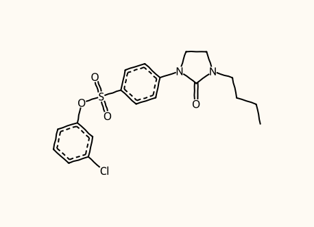 CCCCN1CCN(c2ccc(S(=O)(=O)Oc3cccc(Cl)c3)cc2)C1=O